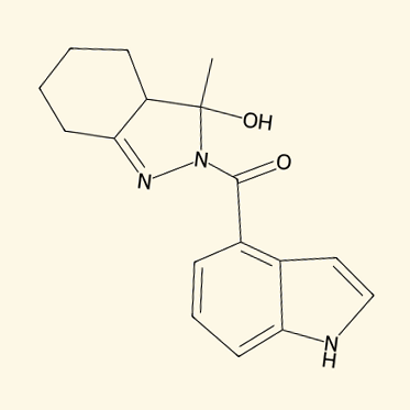 CC1(O)C2CCCCC2=NN1C(=O)c1cccc2[nH]ccc12